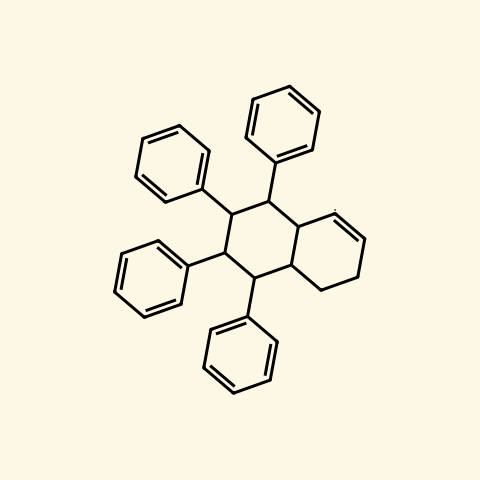 [C]1=CCCC2C1C(c1ccccc1)C(c1ccccc1)C(c1ccccc1)C2c1ccccc1